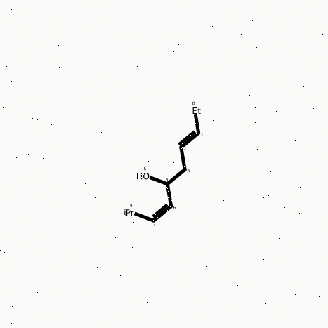 CC/C=C/CC(O)/C=C\C(C)C